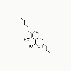 CCCCCc1ccc(CCCCC)c(C(O)O)c1O